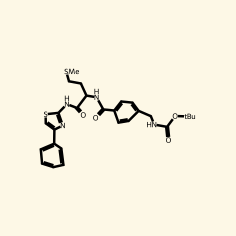 CSCCC(NC(=O)c1ccc(CNC(=O)OC(C)(C)C)cc1)C(=O)Nc1nc(-c2ccccc2)cs1